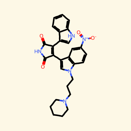 O=C1NC(=O)C(c2cn(CCCN3CCCCC3)c3ccc([N+](=O)[O-])cc23)=C1c1c[nH]c2ccccc12